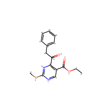 CCOC(=O)c1cnc(SC)nc1C(=O)Cc1ccccc1